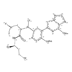 CC[C@H](CCC(F)(F)F)NC(=O)N(CC(F)F)C(c1cc(-c2cn3ncnc3c(OC)n2)c(OC)cn1)C(F)(F)F